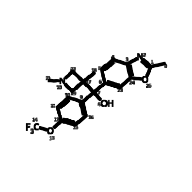 Cc1nc2ccc(C(O)(c3ccc(OC(F)(F)F)cc3)C3(C)CN(C)C3)cc2o1